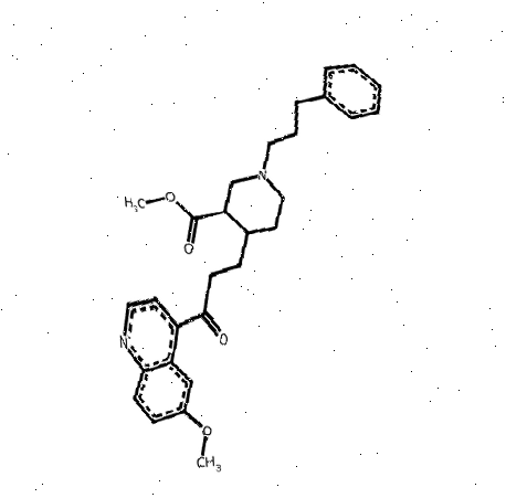 COC(=O)[C@H]1CN(CCCc2ccccc2)CCC1CCC(=O)c1ccnc2ccc(OC)cc12